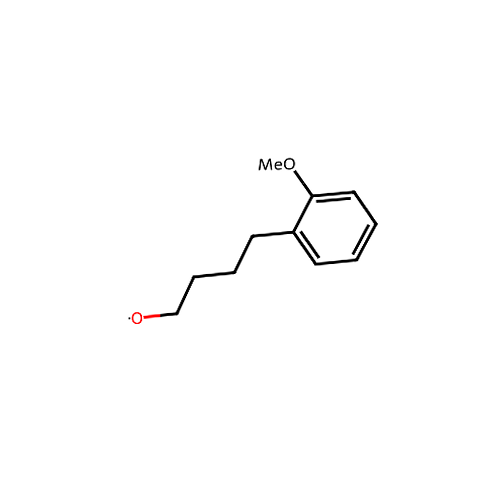 COc1ccccc1CCCC[O]